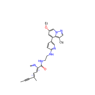 C=N/C(=C\C=C(/C)C#CC)C(=O)NCCNc1ccc(-c2cc(OCC)cn3ncc(C#N)c23)cn1